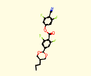 CCCC1COC(c2cc(F)c(C(=O)Oc3cc(F)c(C#N)c(F)c3)c(F)c2)OC1